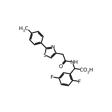 Cc1ccc(-c2nc(CC(=O)NC(C(=O)O)c3cc(F)ccc3F)cs2)cc1